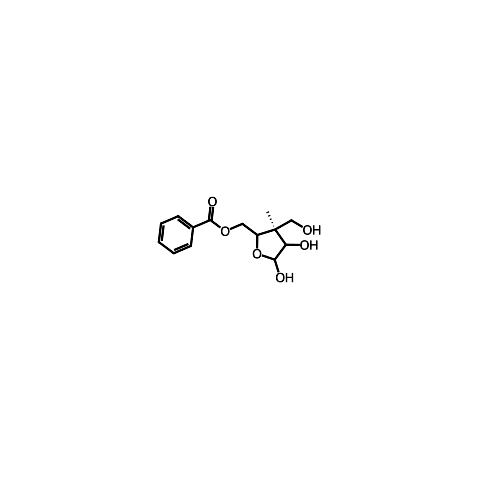 C[C@@]1(CO)C(COC(=O)c2ccccc2)OC(O)C1O